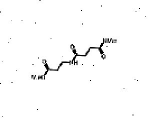 CNC(=O)CCC(=O)NCCC(=O)OC